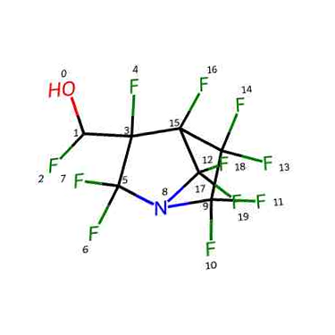 OC(F)C1(F)C(F)(F)N2C(F)(F)C(F)(F)C1(F)C2(F)F